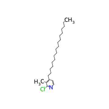 CCCCCCCCCCCCCCCCCCc1ccnc(Cl)c1C